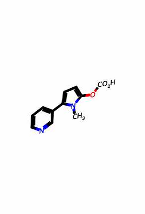 Cn1c(OC(=O)O)ccc1-c1cccnc1